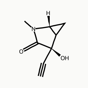 C#C[C@]1(O)C(=O)N(C)[C@@H]2CC21